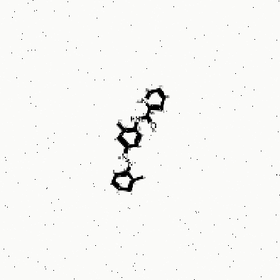 Cc1ccccc1/N=N/c1ccc(NC(=O)c2ccccn2)c(C)c1